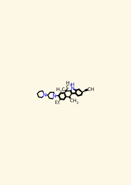 C#Cc1ccc2c3c([nH]c2c1)C(C)(C)c1cc(N2CCC(N4CCCCC4)CC2)c(CC)cc1C3=C